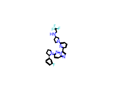 Fc1cccc([C@H]2CCCN2c2ccc3ncc(-c4cccc(N5CCC(NCC(F)(F)F)C5)n4)n3n2)c1